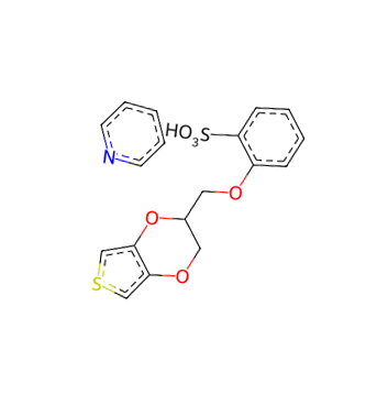 O=S(=O)(O)c1ccccc1OCC1COc2cscc2O1.c1ccncc1